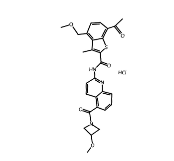 COCc1ccc(C(C)=O)c2sc(C(=O)Nc3ccc4c(C(=O)N5CC(OC)C5)cccc4n3)c(C)c12.Cl